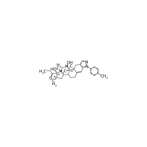 CCC(=O)[C@@]1(O)[C@H](C)CC2C3CCC4=Cc5c(cnn5-c5ccc(C)cc5)CC4(C)[C@@]3(C)C(O)CC21C